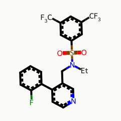 CCN(Cc1cnccc1-c1ccccc1F)S(=O)(=O)c1cc(C(F)(F)F)cc(C(F)(F)F)c1